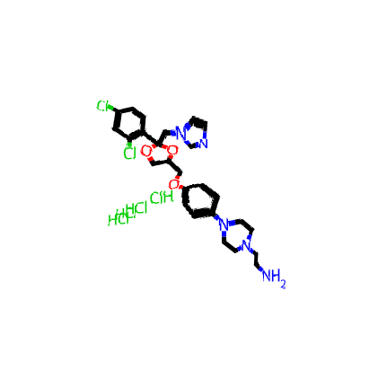 Cl.Cl.Cl.Cl.NCCN1CCN(c2ccc(OCC3COC(Cn4ccnc4)(c4ccc(Cl)cc4Cl)O3)cc2)CC1